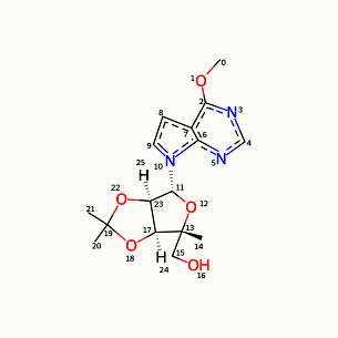 COc1ncnc2c1ccn2[C@@H]1O[C@](C)(CO)[C@H]2OC(C)(C)O[C@@H]12